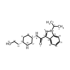 CC(C)n1nc(C(=O)N[C@H]2CC[C@@H](CCO)NC2)c2ccccc21